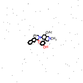 CC(=O)OC1CC(N(CC(C)C)C(=O)c2ccc3ccccc3c2)CC2(c3cccc(O)c3)CCN(C)CC12